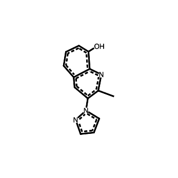 Cc1nc2c(O)cccc2cc1-n1cccn1